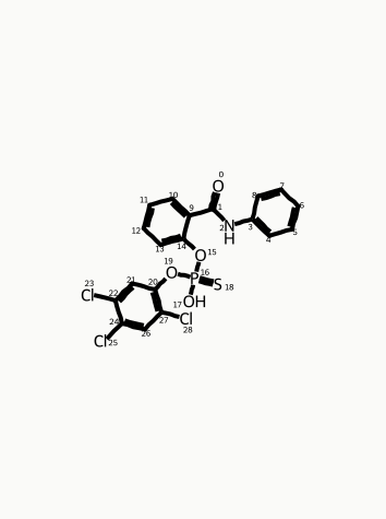 O=C(Nc1ccccc1)c1ccccc1OP(O)(=S)Oc1cc(Cl)c(Cl)cc1Cl